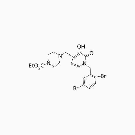 CCOC(=O)N1CCN(Cc2ccn(Cc3cc(Br)ccc3Br)c(=O)c2O)CC1